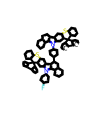 Fc1ccc(-n2c3cc4c(cc3c3c(-c5ccc(-n6c7cc8c(cc7c7ccc9ccccc9c76)Sc6ccccc6C86c7ccccc7-c7ccccc76)cc5)cc5ccccc5c32)Sc2ccccc2C42c3ccccc3-c3ccccc32)cc1